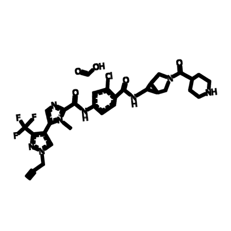 C#CCn1cc(-c2cnc(C(=O)Nc3ccc(C(=O)NC4C5CN(C(=O)C6CCNCC6)CC54)c(Cl)c3)n2C)c(C(F)(F)F)n1.O=CO